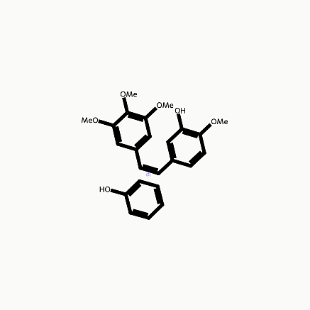 COc1ccc(/C=C\c2cc(OC)c(OC)c(OC)c2)cc1O.Oc1ccccc1